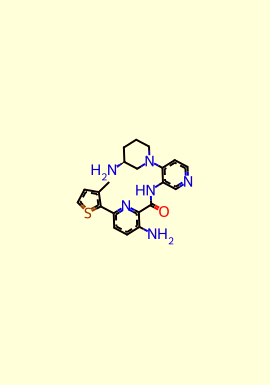 Cc1ccsc1-c1ccc(N)c(C(=O)Nc2cnccc2N2CCC[C@H](N)C2)n1